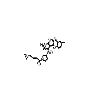 Cc1ccc(Oc2ccnc3[nH]nc(N[C@@H]4CCN(C(=O)/C=C/CN(C)C)C4)c23)c(C#N)c1